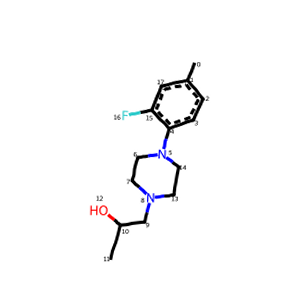 Cc1ccc(N2CCN(CC(C)O)CC2)c(F)c1